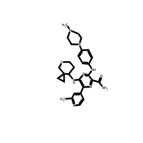 Cc1cc(-c2nc(C(N)=O)c(Nc3ccc(N4CCN(C)CC4)cc3)nc2NC2CCOCC23CC3)ccn1